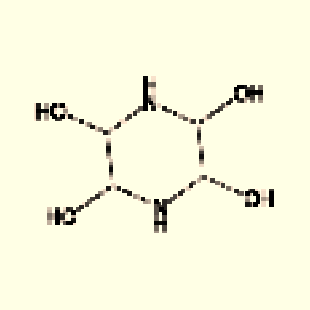 OC1NC(O)C(O)NC1O